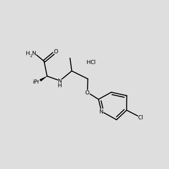 CC(COc1ccc(Cl)cn1)N[C@H](C(N)=O)C(C)C.Cl